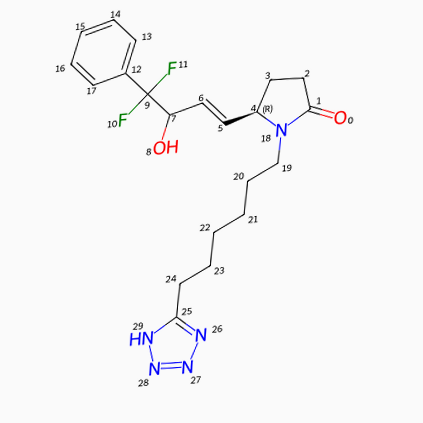 O=C1CC[C@H](C=CC(O)C(F)(F)c2ccccc2)N1CCCCCCc1nnn[nH]1